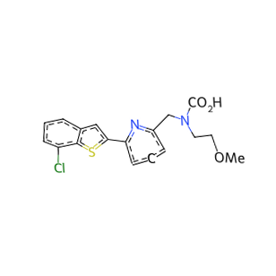 COCCN(Cc1cccc(-c2cc3cccc(Cl)c3s2)n1)C(=O)O